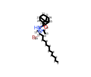 CCCCCCCCCCCC[N+](C)(CC)NC(=O)C12CC3CC(CC(C3)C1)C2.[Br-]